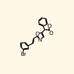 O=C1Oc2ccccc2C1c1cnc(/C=C/c2cccc(Br)c2)o1